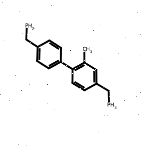 Cc1cc(CP)ccc1-c1ccc(CP)cc1